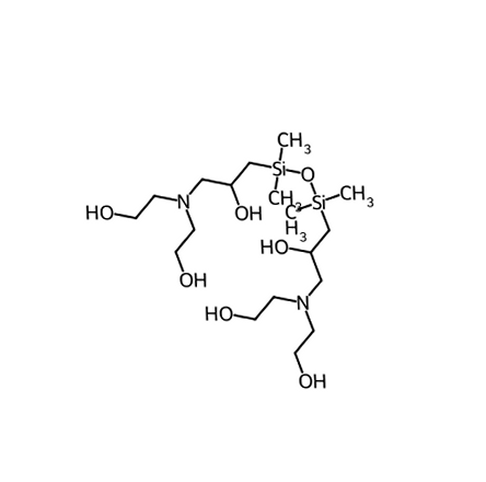 C[Si](C)(CC(O)CN(CCO)CCO)O[Si](C)(C)CC(O)CN(CCO)CCO